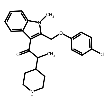 CC(C(=O)c1c(COc2ccc(Cl)cc2)n(C)c2ccccc12)C1CCNCC1